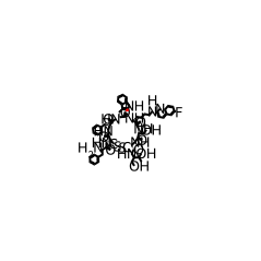 CC(O)C(CO)NC(=O)[C@@H]1CSSC[C@H](NC(=O)[C@H](N)Cc2ccccc2)C(=O)N[C@@H](Cc2ccccc2)C(=O)N[C@H](Cc2c[nH]c3ccccc23)C(=O)N[C@@H](CCCCNc2ccc3cc(F)ccc3n2)C(=O)N[C@@H]([C@@H](C)O)C(=O)N1